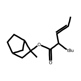 CC=CC(C(=O)OC1(C)CC2CCC1C2)C(C)(C)C